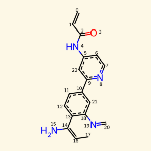 C=CC(=O)Nc1ccnc(-c2ccc(/C(N)=C\C)c(N=C)c2)c1